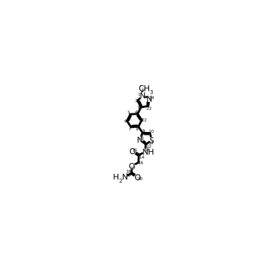 Cn1cc(-c2cccc(-c3csc(NC(=O)COC(N)=O)n3)c2)cn1